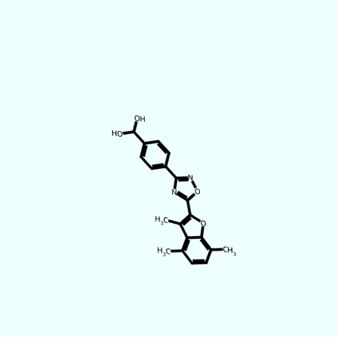 Cc1ccc(C)c2c(C)c(-c3nc(-c4ccc(C(O)O)cc4)no3)oc12